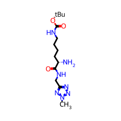 Cn1nnc(CNC(=O)[C@@H](N)CCCCNC(=O)OC(C)(C)C)n1